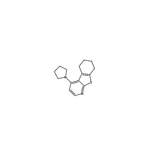 c1cc(N2CCCC2)c2c3c(sc2n1)CCCC3